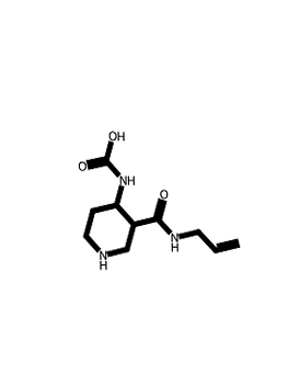 C=CCNC(=O)C1CNCCC1NC(=O)O